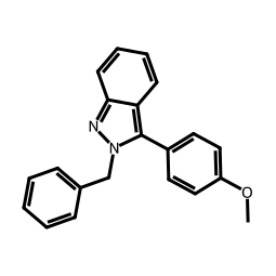 COc1ccc(-c2c3ccccc3nn2Cc2ccccc2)cc1